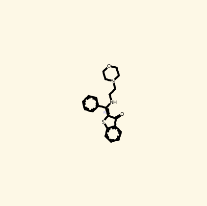 O=C1/C(=C(\NCCN2CCOCC2)c2ccccc2)Sc2ccccc21